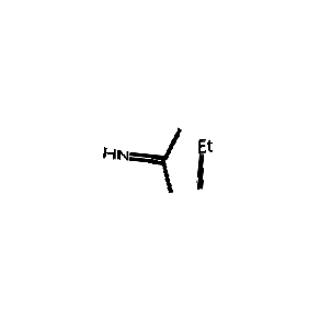 CC(C)=N.CCC